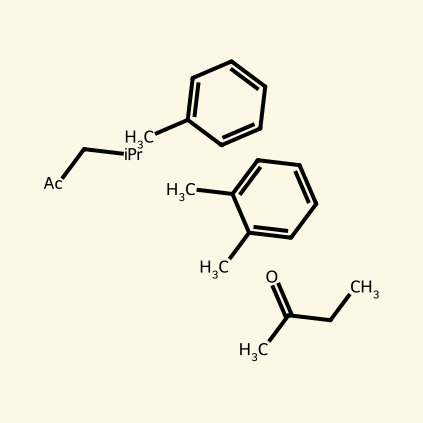 CC(=O)CC(C)C.CCC(C)=O.Cc1ccccc1.Cc1ccccc1C